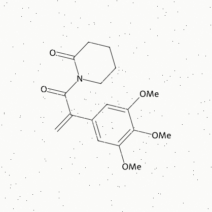 C=C(C(=O)N1CCCCC1=O)c1cc(OC)c(OC)c(OC)c1